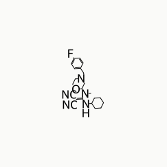 CN(C(NC1CCCCC1)=C(C#N)C#N)C1CN(Cc2ccc(F)cc2)CCO1